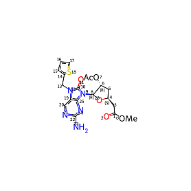 COC(=O)C[C@@H]1C[C@@H](OC(C)=O)[C@H](n2c(=O)n(Cc3cccs3)c3cnc(N)nc32)O1